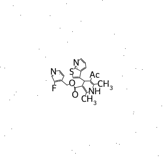 CC(=O)C1=C(C)NC(C)=C(C(=O)OCc2ccncc2F)C1c1csc2ncccc12